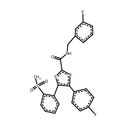 CS(=O)(=O)c1ccccc1-c1sc(C(=O)NCc2cccc(F)c2)nc1-c1ccc(F)cc1